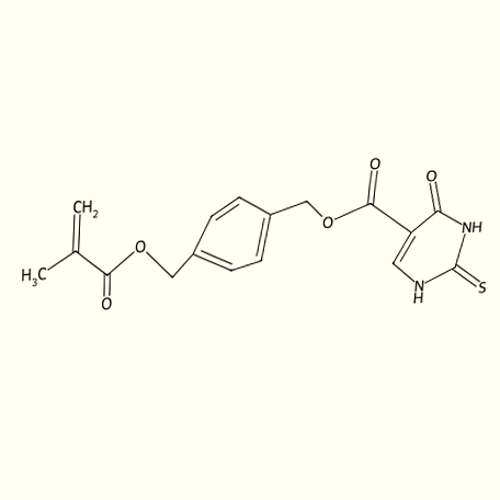 C=C(C)C(=O)OCc1ccc(COC(=O)c2c[nH]c(=S)[nH]c2=O)cc1